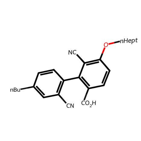 CCCCCCCOc1ccc(C(=O)O)c(-c2ccc(CCCC)cc2C#N)c1C#N